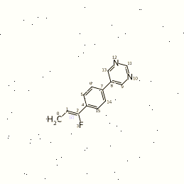 [CH2]/C=C(\F)c1ccc(-c2cncnc2)cc1